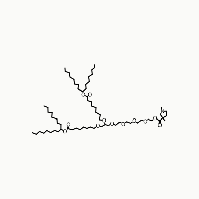 CCCCCCCCC(CCCCCCCC)OC(=O)CCCCCCCOCC(COCCOCCOCCOCCOC(=O)C1(C)CCN(C)C1)OCCCCCCCC(=O)OC(CCCCCCCC)CCCCCCCC